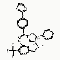 CN(Cc1ccc(C(F)(F)F)c(F)c1)[C@H]1CN(C(=O)c2ccc(-c3nnco3)cc2)C[C@@H]1c1ccccc1